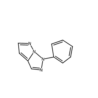 c1ccc(-n2ncc3ccnn32)cc1